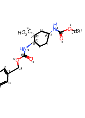 CC(C)(C)OC(=O)N[C@@H]1CC[C@@H](NC(=O)OCc2ccccc2)[C@H](C(=O)O)C1